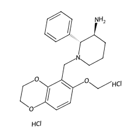 CCOc1ccc2c(c1CN1CCC[C@H](N)[C@H]1c1ccccc1)OCCO2.Cl.Cl